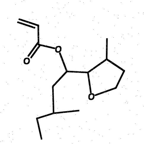 C=CC(=O)OC(CC(C)CC)C1OCCC1C